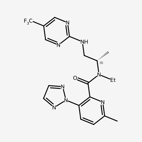 CCN(C(=O)c1nc(C)ccc1-n1nccn1)[C@@H](C)CNc1ncc(C(F)(F)F)cn1